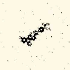 CN(C(=O)O)c1ccc(-n2cc(C3CCc4cc(-c5cc(Cl)ccc5-n5cnnn5)cc(=O)n43)nn2)cc1